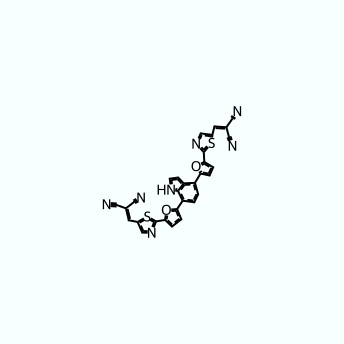 N#CC(C#N)=Cc1cnc(-c2ccc(-c3ccc(-c4ccc(-c5ncc(C=C(C#N)C#N)s5)o4)c4[nH]ccc34)o2)s1